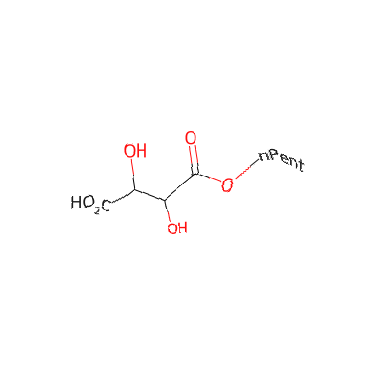 CCCCCOC(=O)C(O)C(O)C(=O)O